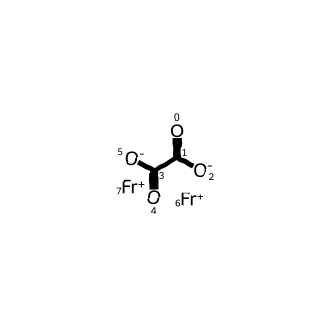 O=C([O-])C(=O)[O-].[Fr+].[Fr+]